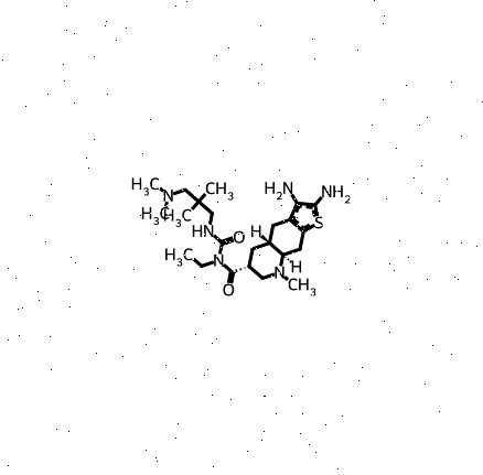 CCN(C(=O)NCC(C)(C)CN(C)C)C(=O)[C@@H]1C[C@@H]2Cc3c(sc(N)c3N)C[C@H]2N(C)C1